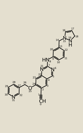 C#Cc1cc2cnc(Nc3cccc(CN4C=CCN4)c3)nc2cc1OCc1cccnc1